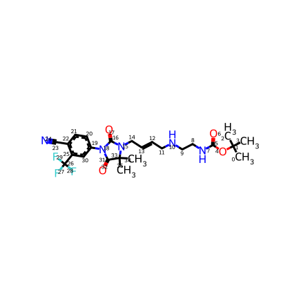 CC(C)(C)OC(=O)NCCNC/C=C/CN1C(=O)N(c2ccc(C#N)c(C(F)(F)F)c2)C(=O)C1(C)C